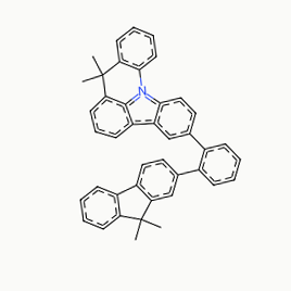 CC1(C)c2ccccc2-c2ccc(-c3ccccc3-c3ccc4c(c3)c3cccc5c3n4-c3ccccc3C5(C)C)cc21